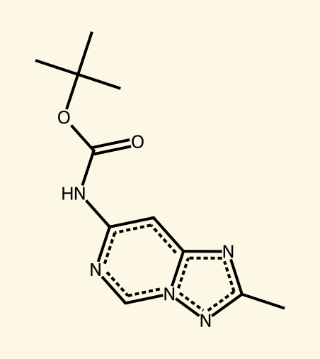 Cc1nc2cc(NC(=O)OC(C)(C)C)ncn2n1